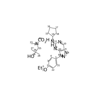 CCOc1ccc(-n2nnc3cnc(NC4CCCC4)nc32)cc1.CN(CC(C)(C)O)C(=O)O